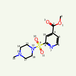 COC(=O)c1ccnc(S(=O)(=O)N2CCN(C)CC2)c1